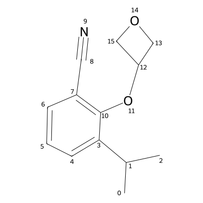 CC(C)c1cccc(C#N)c1OC1COC1